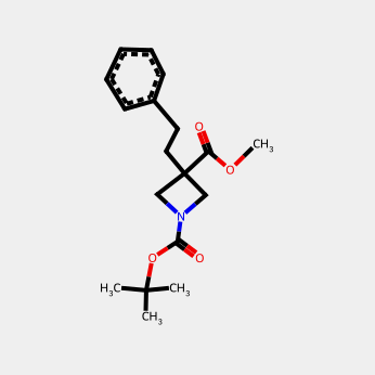 COC(=O)C1(CCc2ccccc2)CN(C(=O)OC(C)(C)C)C1